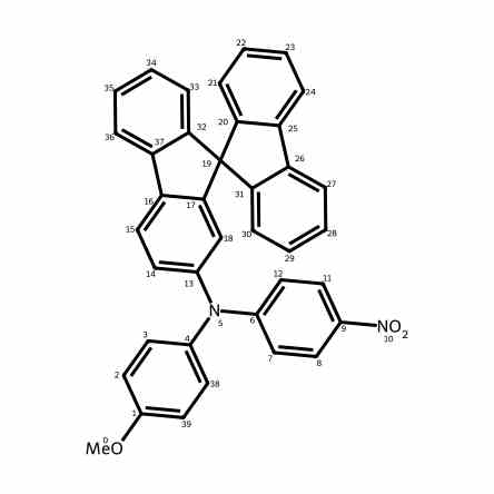 COc1ccc(N(c2ccc([N+](=O)[O-])cc2)c2ccc3c(c2)C2(c4ccccc4-c4ccccc42)c2ccccc2-3)cc1